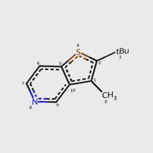 Cc1c(C(C)(C)C)sc2ccncc12